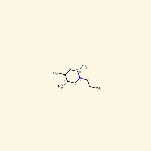 CCCN1C[C@H](C)C(C)C[C@@H]1C